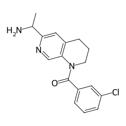 CC(N)c1cc2c(cn1)N(C(=O)c1cccc(Cl)c1)CCC2